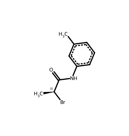 Cc1cccc(NC(=O)[C@H](C)Br)c1